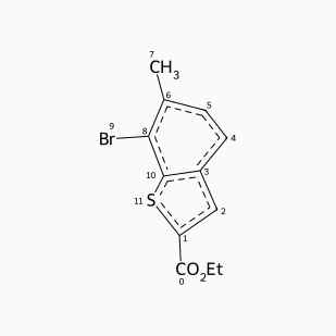 CCOC(=O)c1cc2ccc(C)c(Br)c2s1